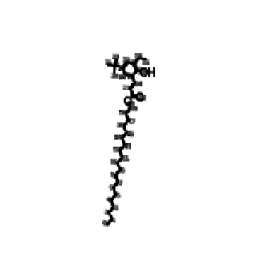 CCCCCCCCCCCCCCCCCCCCOC(=O)CCc1cc(C(C)(C)C)cc(CC)c1O